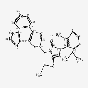 CCCc1cn(-c2c(Br)cccc2C(C)C)c(=O)n1Cc1ccc(-c2ccncc2-c2nnn[nH]2)cc1